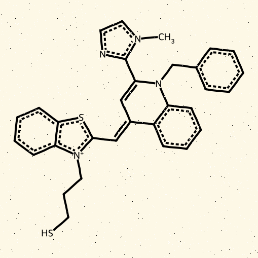 Cn1ccnc1C1=C/C(=C\c2sc3ccccc3[n+]2CCCS)c2ccccc2N1Cc1ccccc1